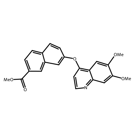 COC(=O)c1ccc2ccc(Oc3ccnc4cc(OC)c(OC)cc34)cc2c1